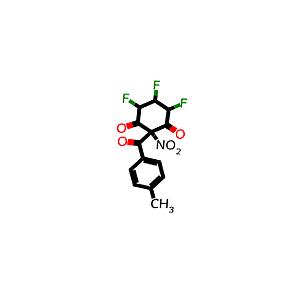 Cc1ccc(C(=O)C2([N+](=O)[O-])C(=O)C(F)C(F)C(F)C2=O)cc1